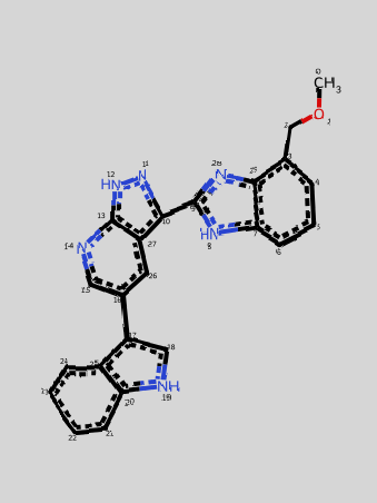 COCc1cccc2[nH]c(-c3n[nH]c4ncc(-c5c[nH]c6ccccc56)cc34)nc12